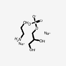 NCCO.O=P([O-])([O-])OCC(O)CO.[Na+].[Na+]